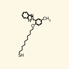 Cc1ccc(OCCCCCCCCCCS)c(-n2nc3ccccc3n2)c1